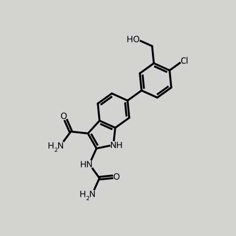 NC(=O)Nc1[nH]c2cc(-c3ccc(Cl)c(CO)c3)ccc2c1C(N)=O